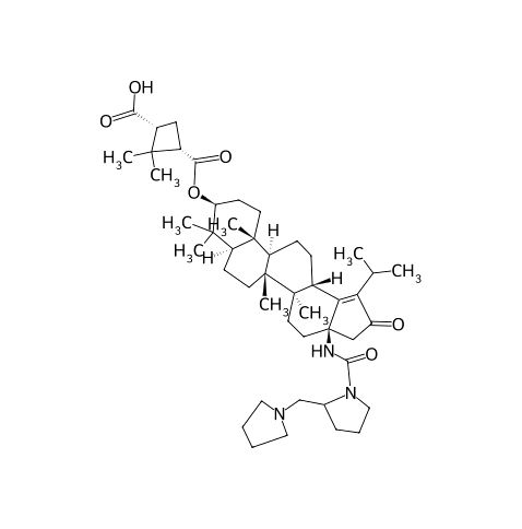 CC(C)C1=C2[C@H]3CC[C@@H]4[C@@]5(C)CC[C@H](OC(=O)[C@H]6C[C@@H](C(=O)O)C6(C)C)C(C)(C)[C@@H]5CC[C@@]4(C)[C@]3(C)CC[C@@]2(NC(=O)N2CCCC2CN2CCCC2)CC1=O